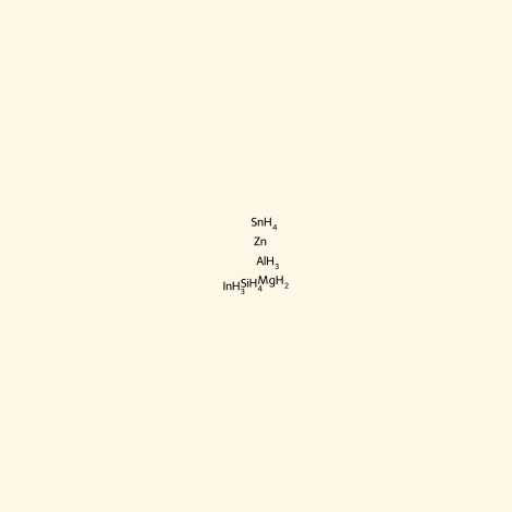 [AlH3].[InH3].[MgH2].[SiH4].[SnH4].[Zn]